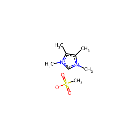 CS(=O)(=O)[O-].Cc1c(C)[n+](C)cn1C